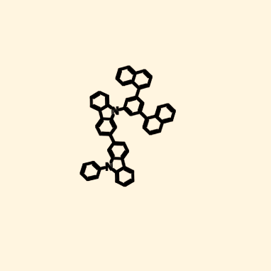 c1ccc(-n2c3ccccc3c3ccc(-c4ccc5c6ccccc6n(-c6cc(-c7cccc8ccccc78)cc(-c7cccc8ccccc78)c6)c5c4)cc32)cc1